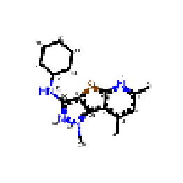 Cc1cc(C)c2c(n1)sc1c(NC3CCCCC3)nn(C)c12